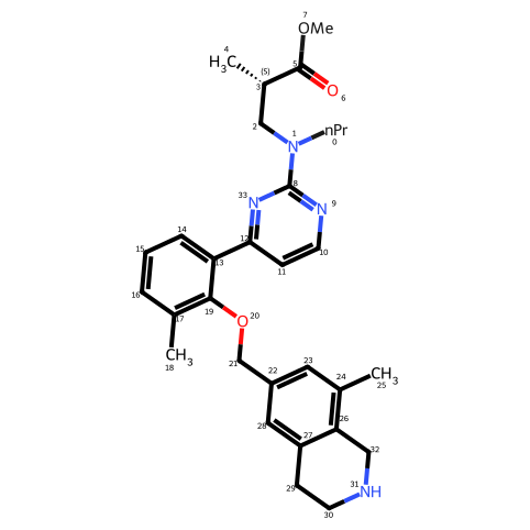 CCCN(C[C@H](C)C(=O)OC)c1nccc(-c2cccc(C)c2OCc2cc(C)c3c(c2)CCNC3)n1